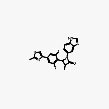 Cc1nc(-c2cc(F)c(C3C(C)C(=O)N3c3ccc4[nH]cnc4c3)c(F)c2)cs1